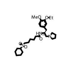 CCOc1cc(C[C@@H](CN2CCCC2)NC(=O)CCCCCS(=O)(=O)C2CCCCC2)ccc1OC